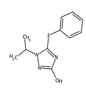 CC(C)n1nc(O)nc1Sc1ccccc1